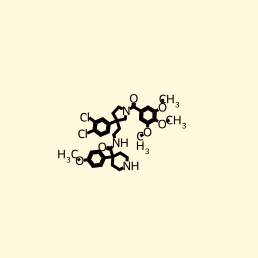 COc1ccc(C2(C(=O)NCCC3(c4ccc(Cl)c(Cl)c4)CCN(C(=O)c4cc(OC)c(OC)c(OC)c4)C3)CCNCC2)cc1